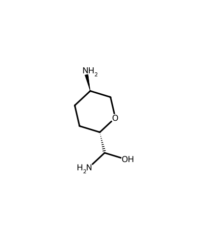 NC(O)[C@@H]1CC[C@@H](N)CO1